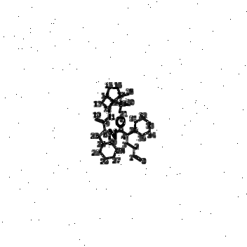 C=CCCC(C(=O)N1C(C(=C)CC2CC3CCC4(C)C(C)(C)C324)CC2CCCCC21)C1CCCCC1